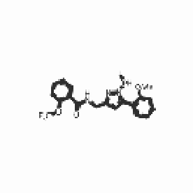 COc1ccccc1-c1cc(CNC(=O)c2ccccc2OC(F)(F)F)nn1PI